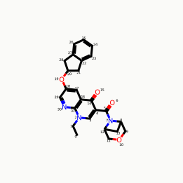 CCn1cc(C(=O)N2C3COCC2C3)c(=O)c2cc(OC3Cc4ccccc4C3)cnc21